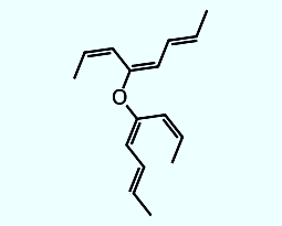 C\C=C/C(=C\C=C\C)OC(/C=C\C)=C/C=C/C